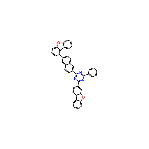 C1=CC2c3ccccc3OC2C=C1c1nc(-c2ccccc2)nc(-c2ccc3cc(-c4cccc5oc6ccccc6c45)ccc3c2)n1